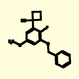 OC1(c2cc(OC(F)(F)F)cc(OCc3ccccc3)c2F)CCC1